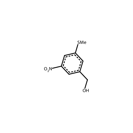 CSc1cc(CO)cc([N+](=O)[O-])c1